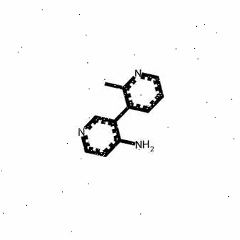 Cc1ncccc1-c1cnccc1N